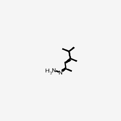 CC(/C=C(\C)C(C)C)=N/N